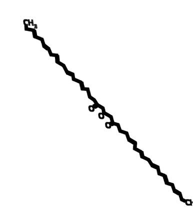 CCC=CCC=CCC=CCC=CCC=CCCCC(=O)CC(=O)CC(=O)CCCC=CCC=CCC=CCC=CCC=CCC